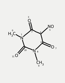 CN1C(=O)C(N=O)C(=O)N(C)C1=O